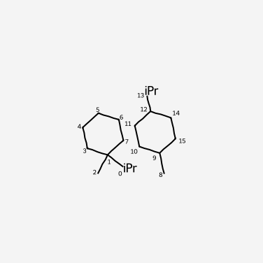 CC(C)C1(C)CCCCC1.CC1CCC(C(C)C)CC1